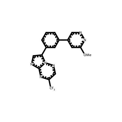 COc1cc(-c2cccc(-c3cnc4nc(C(F)(F)F)cnn34)c2)cnn1